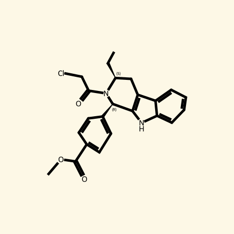 CC[C@H]1Cc2c([nH]c3ccccc23)[C@@H](c2ccc(C(=O)OC)cc2)N1C(=O)CCl